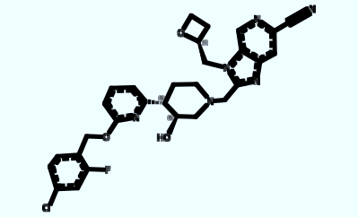 N#Cc1cc2nc(CN3CC[C@@H](c4cccc(OCc5ccc(Cl)cc5F)n4)[C@H](O)C3)n(C[C@@H]3CCO3)c2cn1